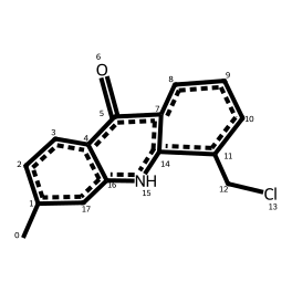 Cc1ccc2c(=O)c3cccc(CCl)c3[nH]c2c1